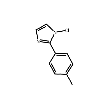 Cc1ccc(-c2nccn2Cl)cc1